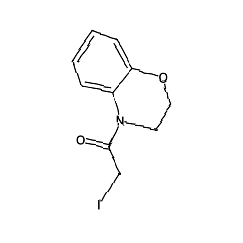 O=C(CI)N1CCOc2ccccc21